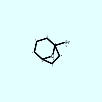 CC(C)C12CCCC(CC1)O2